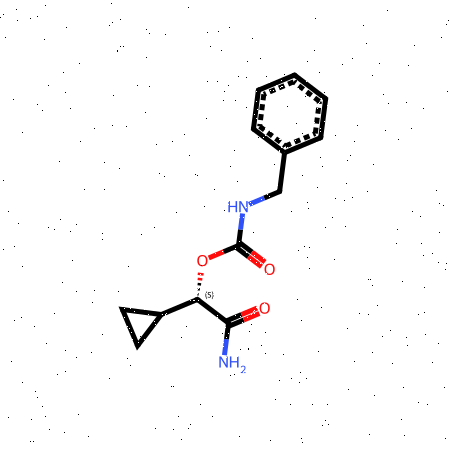 NC(=O)[C@@H](OC(=O)NCc1ccccc1)C1CC1